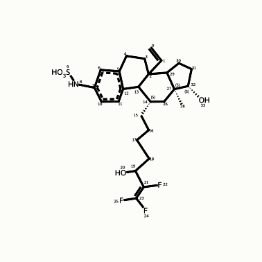 C=CC12CCc3cc(NS(=O)(=O)O)ccc3C1[C@@H](CCCCC(O)C(F)=C(F)F)C[C@@]1(C)C2CC[C@@H]1O